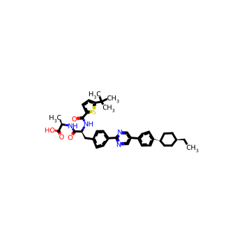 CC[C@H]1CC[C@H](c2ccc(-c3cnc(-c4ccc(C[C@H](NC(=O)c5ccc(C(C)(C)C)s5)C(=O)N[C@H](C)C(=O)O)cc4)nc3)cc2)CC1